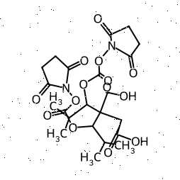 CC(C)C(OC(=O)ON1C(=O)CCC1=O)C(CC(=O)O)(C(=O)O)C(OC(=O)ON1C(=O)CCC1=O)C(C)C